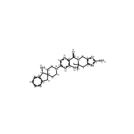 CC1(C)Cc2nc(N)sc2CN1C(=O)c1ncc(N2CCC3(CC2)Cc2ccccc2[C@H]3N)nc1N